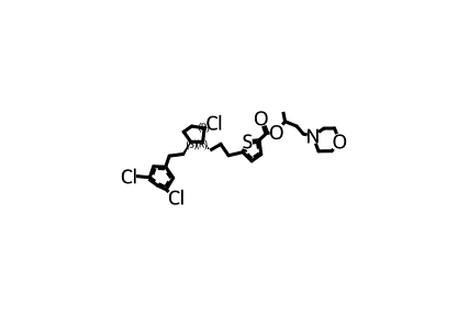 CC(CCN1CCOCC1)OC(=O)c1ccc(CCC[C@@H]2[C@@H](CCc3cc(Cl)cc(Cl)c3)CC[C@H]2Cl)s1